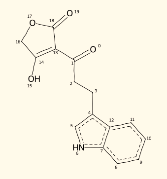 O=C(CCc1c[nH]c2ccccc12)C1=C(O)COC1=O